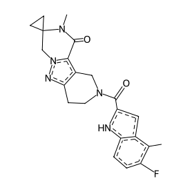 Cc1c(F)ccc2[nH]c(C(=O)N3CCc4nn5c(c4C3)C(=O)N(C)C3(CC3)C5)cc12